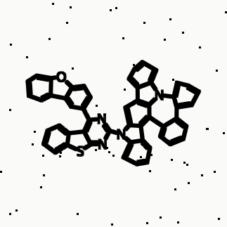 c1ccc2c(c1)-c1ccccc1-n1c3ccccc3c3cc4c(c-2c31)c1ccccc1n4-c1nc(-c2ccc3oc4ccccc4c3c2)c2c(n1)sc1ccccc12